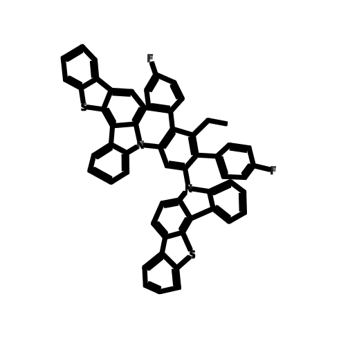 CCc1c(-c2ccc(F)cc2)c(-n2c3ccccc3c3c4sc5ccccc5c4ccc32)cc(-n2c3ccccc3c3c4sc5ccccc5c4ccc32)c1-c1ccc(F)cc1